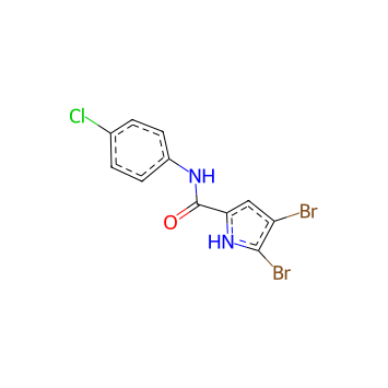 O=C(Nc1ccc(Cl)cc1)c1cc(Br)c(Br)[nH]1